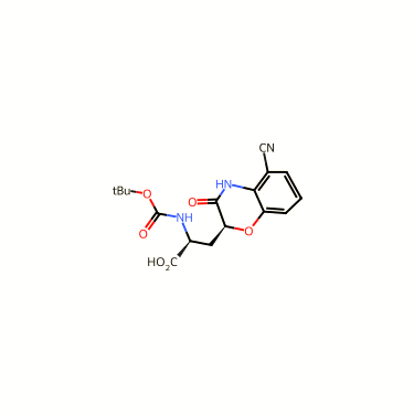 CC(C)(C)OC(=O)N[C@@H](C[C@@H]1Oc2cccc(C#N)c2NC1=O)C(=O)O